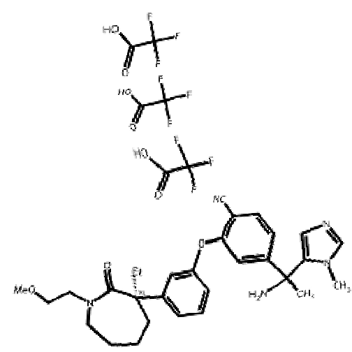 CC[C@]1(c2cccc(Oc3cc(C(C)(N)c4cncn4C)ccc3C#N)c2)CCCCN(CCOC)C1=O.O=C(O)C(F)(F)F.O=C(O)C(F)(F)F.O=C(O)C(F)(F)F